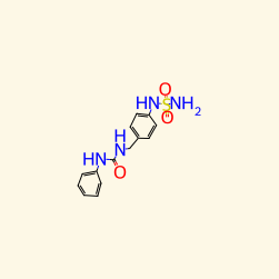 NS(=O)(=O)Nc1ccc(CNC(=O)Nc2ccccc2)cc1